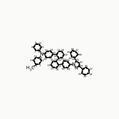 Cc1ccc(N(c2ccccc2)c2ccc(-c3ccccc3-c3ccccc3-c3ccc(-n4nc(-c5ccccc5)cc4-c4ccccc4)cc3)cc2)cc1